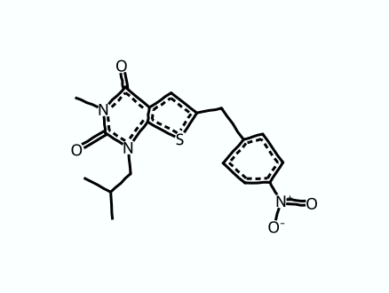 CC(C)Cn1c(=O)n(C)c(=O)c2cc(Cc3ccc([N+](=O)[O-])cc3)sc21